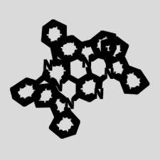 c1ccc(-c2cc(-c3c(-n4c5ccccc5c5ccccc54)cnc(-n4c5ccccc5c5ccccc54)c3-n3c4ccccc4c4ccccc43)nc(-c3ccccc3)n2)cc1